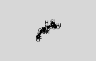 O=C(COc1cc(Cl)cc2c1OCC(=O)N2)NC1=C2CC(NC(=O)COc3ccc(Cl)c(F)c3)(C2)[C@@H](O)C1